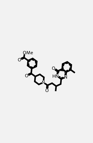 COC(=O)c1cccc(C(=O)C2CCN(C(=O)CC(C)Cc3nc4c(C)cccc4c(=O)[nH]3)CC2)c1